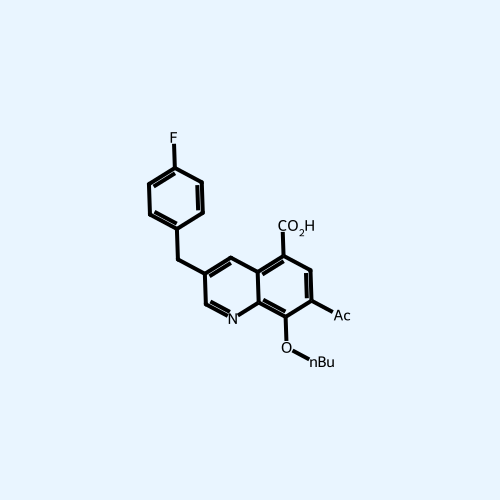 CCCCOc1c(C(C)=O)cc(C(=O)O)c2cc(Cc3ccc(F)cc3)cnc12